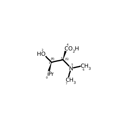 CC(C)[C@@H](O)[C@@H](C(=O)O)N(C)C